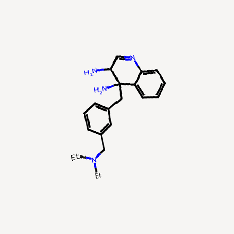 CCN(CC)Cc1cccc(CC2(N)c3ccccc3N=CC2N)c1